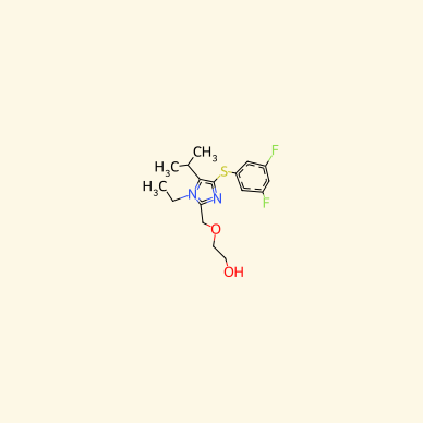 CCn1c(COCCO)nc(Sc2cc(F)cc(F)c2)c1C(C)C